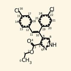 CCOC(=O)c1n[nH]cc1C(=Cc1ccc(Cl)cc1)c1ccc(Cl)cc1